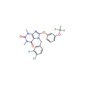 Cn1c(=O)c2c(nc(Oc3cccc(OC(C)(F)F)c3)n2Cc2ccc(Cl)c(F)c2)n(C)c1=O